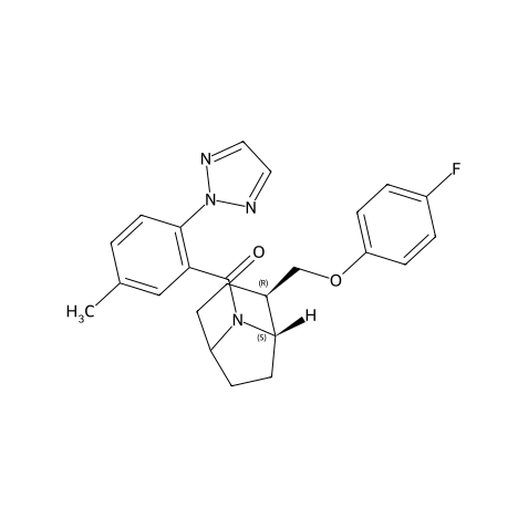 Cc1ccc(-n2nccn2)c(C(=O)N2C3CC[C@@H](COc4ccc(F)cc4)[C@@H]2CC3)c1